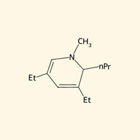 CCCC1C(CC)=CC(CC)=CN1C